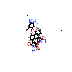 Cc1cc(N)ccc1Oc1ccccc1-c1cccc(C2=CC(=O)NC2=O)c1C1=CC(=O)NC1=O